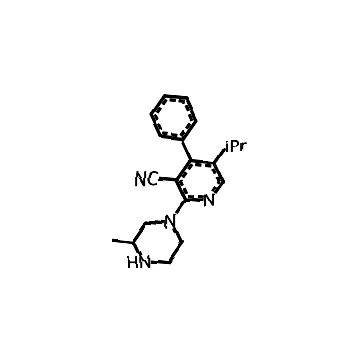 CC1CN(c2ncc(C(C)C)c(-c3ccccc3)c2C#N)CCN1